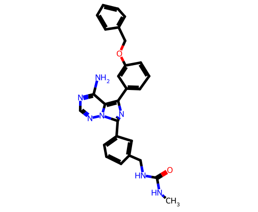 CNC(=O)NCc1cccc(-c2nc(-c3cccc(OCc4ccccc4)c3)c3c(N)ncnn23)c1